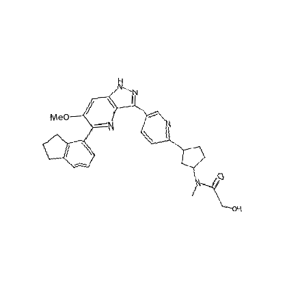 COc1cc2[nH]nc(-c3ccc(C4CCC(N(C)C(=O)CO)C4)nc3)c2nc1-c1cccc2c1CCC2